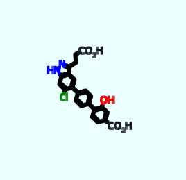 O=C(O)CCc1n[nH]c2cc(Cl)c(-c3ccc(-c4ccc(C(=O)O)cc4O)cc3)cc12